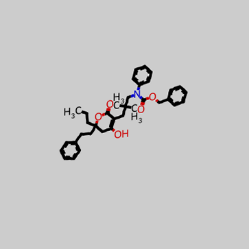 CCCC1(CCc2ccccc2)CC(O)=C(CC(C)(C)CN(C(=O)OCc2ccccc2)c2ccccc2)C(=O)O1